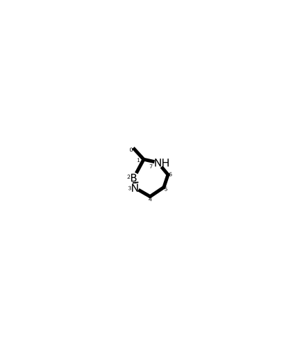 CC1B=NCCCN1